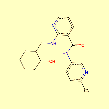 N#Cc1ccc(NC(=O)c2cccnc2NCC2CCCCC2O)cn1